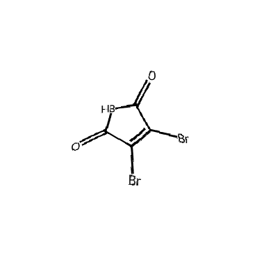 O=C1BC(=O)C(Br)=C1Br